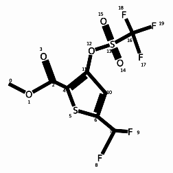 COC(=O)c1sc(C(F)F)cc1OS(=O)(=O)C(F)(F)F